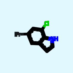 CC(C)c1cc(Cl)c2[nH]ccc2c1